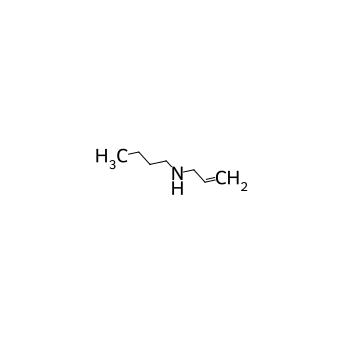 C=CCNCCCC